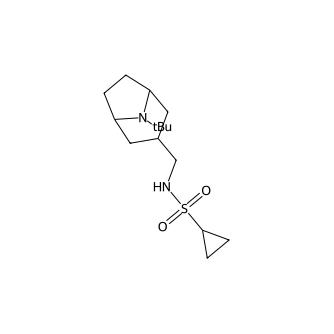 CC(C)(C)N1C2CCC1CC(CNS(=O)(=O)C1CC1)C2